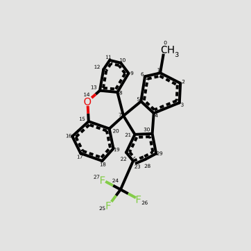 Cc1ccc2c(c1)C1(c3ccccc3Oc3ccccc31)c1cc(C(F)(F)F)ccc1-2